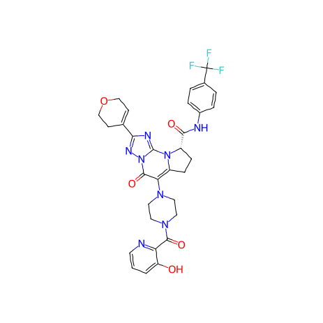 O=C(Nc1ccc(C(F)(F)F)cc1)[C@@H]1CCc2c(N3CCN(C(=O)c4ncccc4O)CC3)c(=O)n3nc(C4=CCOCC4)nc3n21